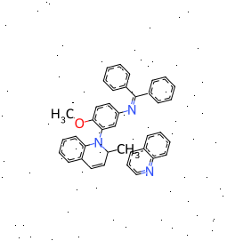 COc1ccc(N=C(c2ccccc2)c2ccccc2)cc1N1c2ccccc2C=CC1C.c1ccc2ncccc2c1